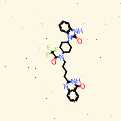 O=C(N(CCCCc1nc2ccccc2c(=O)[nH]1)C1CCC(n2c(=O)[nH]c3ccccc32)CC1)C(F)(F)F